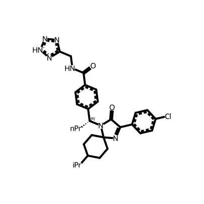 CCC[C@H](c1ccc(C(=O)NCc2nn[nH]n2)cc1)N1C(=O)C(c2ccc(Cl)cc2)=NC12CCC(C(C)C)CC2